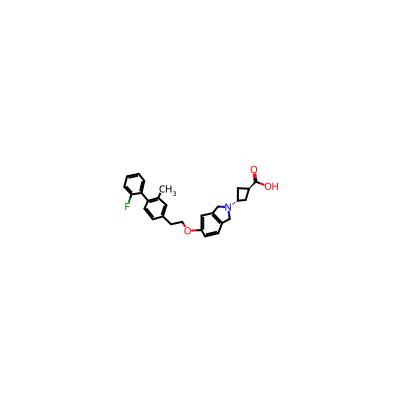 Cc1cc(CCOc2ccc3c(c2)CN([C@H]2C[C@H](C(=O)O)C2)C3)ccc1-c1ccccc1F